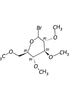 COC[C@H]1OC(Br)[C@H](OC)[C@@H](OC)[C@@H]1OC